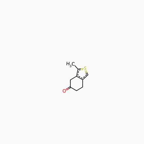 Cc1scc2c1CC(=O)CC2